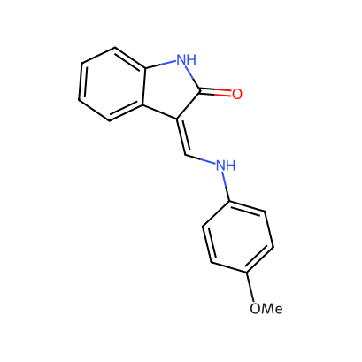 COc1ccc(NC=C2C(=O)Nc3ccccc32)cc1